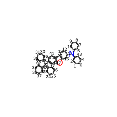 c1ccc(N(c2ccccc2)c2ccc3c(c2)oc2cc(C4(c5ccccc5)c5ccccc5-c5ccccc54)ccc23)cc1